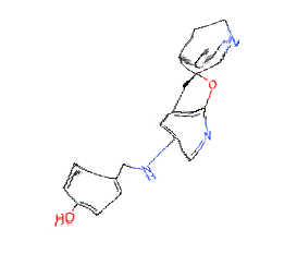 Oc1ccc(CNc2cnc3c(c2)C[C@@]2(CN4CCC2CC4)O3)cc1